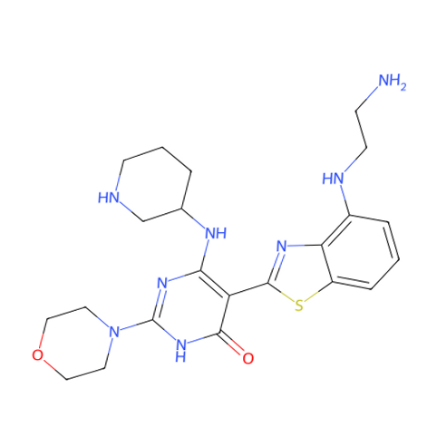 NCCNc1cccc2sc(-c3c(NC4CCCNC4)nc(N4CCOCC4)[nH]c3=O)nc12